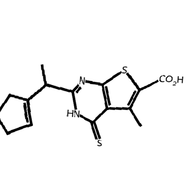 Cc1c(C(=O)O)sc2nc(C(C)C3=CCCC3)[nH]c(=S)c12